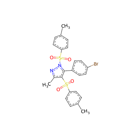 Cc1ccc(S(=O)(=O)c2c(C)nn(S(=O)(=O)c3ccc(C)cc3)c2-c2ccc(Br)cc2)cc1